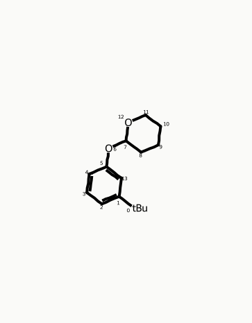 CC(C)(C)c1cc[c]c(OC2CCCCO2)c1